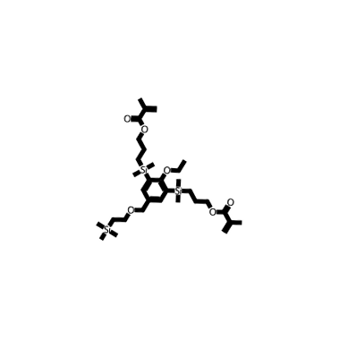 C=C(C)C(=O)OCCC[Si](C)(C)c1cc(COCC[Si](C)(C)C)cc([Si](C)(C)CCCOC(=O)C(=C)C)c1OCC